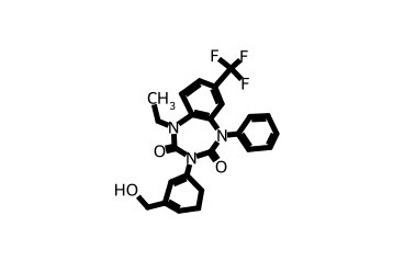 CCN1C(=O)N(C2=CC(CO)=CCC2)C(=O)N(c2ccccc2)c2cc(C(F)(F)F)ccc21